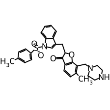 Cc1ccc(S(=O)(=O)n2cc(CC3Oc4c(ccc(C)c4CN4CCNCC4)C3=O)c3ccccc32)cc1